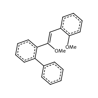 COC(=Cc1ccccc1OC)c1ccccc1-c1ccccc1